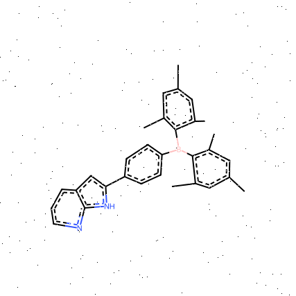 Cc1cc(C)c(B(c2ccc(-c3cc4cccnc4[nH]3)cc2)c2c(C)cc(C)cc2C)c(C)c1